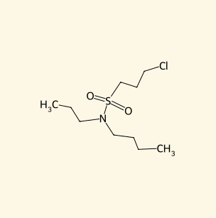 CCCCN(CCC)S(=O)(=O)CCCCl